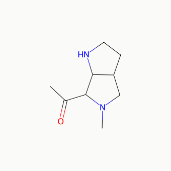 CC(=O)C1C2NCCC2CN1C